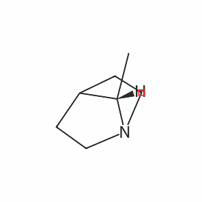 C[C@H]1C2CCN1CC2